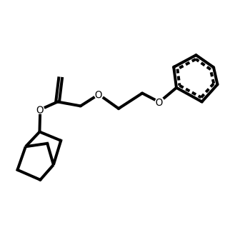 C=C(COCCOc1ccccc1)OC1CC2CCC1C2